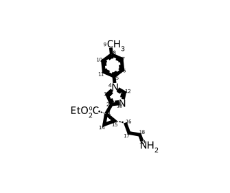 CCOC(=O)[C@@]1(c2cn(-c3ccc(C)cc3)cn2)C[C@H]1CCCN